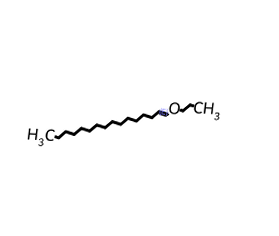 CCCCCCCCCCCCCC/C=C/OCCC